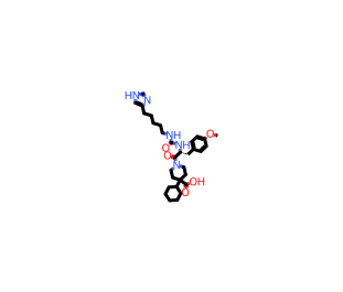 COc1ccc(C[C@@H](NC(=O)NCCCCCc2c[nH]cn2)C(=O)N2CCC(C(=O)O)(C3CCCCC3)CC2)cc1